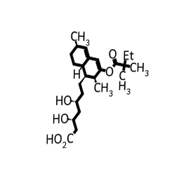 CCC(C)(C)C(=O)OC1=CC2=C[C@H](C)CC[C@@H]2[C@H](CC[C@@H](O)C[C@@H](O)CC(=O)O)[C@@H]1C